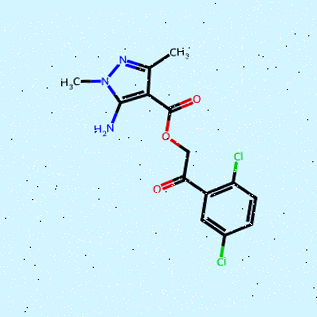 Cc1nn(C)c(N)c1C(=O)OCC(=O)c1cc(Cl)ccc1Cl